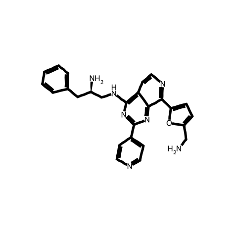 NCc1ccc(-c2nccc3c(NC[C@H](N)Cc4ccccc4)nc(-c4ccncc4)nc23)o1